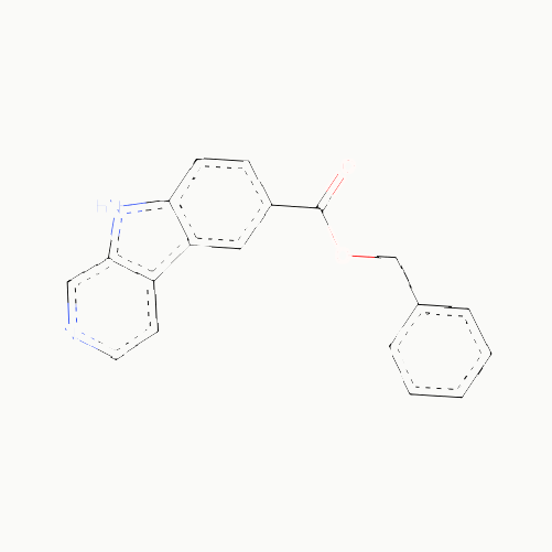 O=C(OCc1ccccc1)c1ccc2[nH]c3cnccc3c2c1